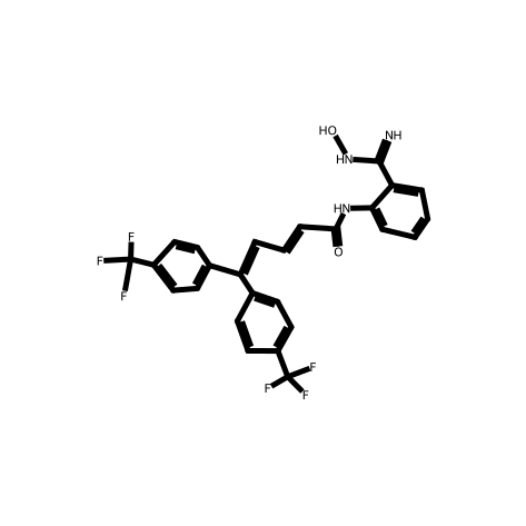 N=C(NO)c1ccccc1NC(=O)/C=C/C=C(c1ccc(C(F)(F)F)cc1)c1ccc(C(F)(F)F)cc1